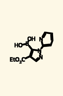 CCOC(=O)c1cnn(-c2ccccn2)c1B(O)O